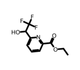 CCOC(=O)c1cccc(C(O)C(F)(F)F)n1